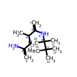 C=C(N)CC(C)C(=C)NC(C)(C)C(C)(C)OC